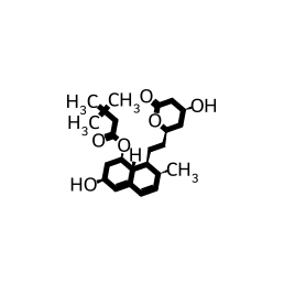 C[C@@H]1C=CC2=C[C@@H](O)C[C@H](OC(=O)CC(C)(C)C)[C@@H]2[C@H]1CC[C@@H]1C[C@@H](O)CC(=O)O1